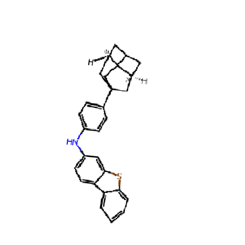 c1ccc2c(c1)sc1cc(Nc3ccc(C45C[C@@H]6CC7C[C@@H](C4)C76C5)cc3)ccc12